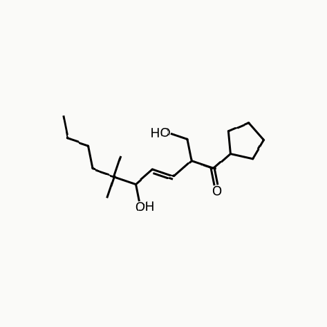 CCCCC(C)(C)C(O)C=CC(CO)C(=O)C1CCCC1